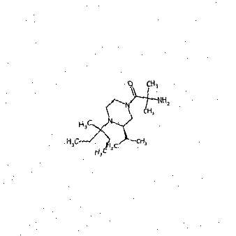 CCC(C)(CC)N1CCN(C(=O)C(C)(C)N)C[C@H]1C(C)C